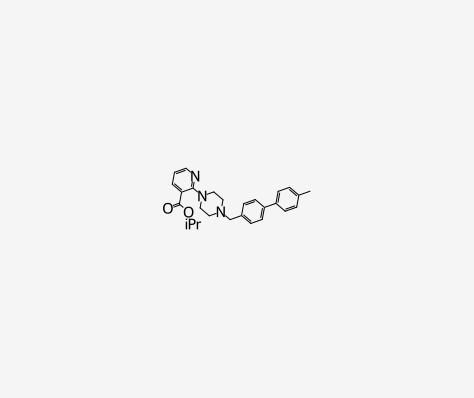 Cc1ccc(-c2ccc(CN3CCN(c4ncccc4C(=O)OC(C)C)CC3)cc2)cc1